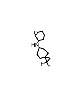 FC1(F)CC12CCC(NC1CCCOC1)CC2